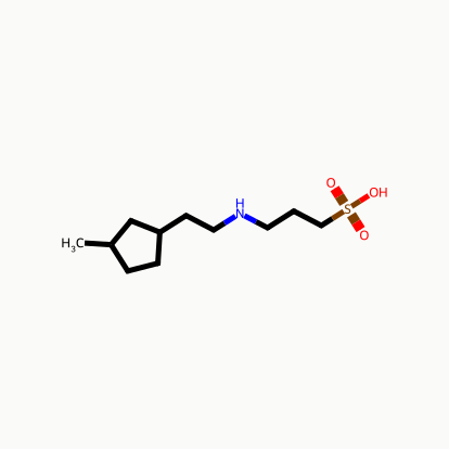 CC1CCC(CCNCCCS(=O)(=O)O)C1